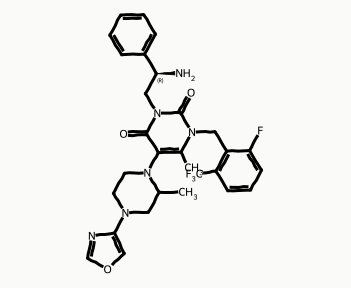 Cc1c(N2CCN(c3cocn3)CC2C)c(=O)n(C[C@H](N)c2ccccc2)c(=O)n1Cc1c(F)cccc1C(F)(F)F